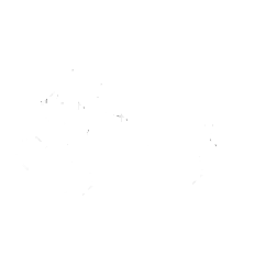 CC([SiH2]N1C(=O)[C@@H](NC(=O)OCc2cccc([N+](=O)[O-])c2)[C@H]1SC(c1ccccc1)(c1ccccc1)c1ccccc1)C(C)(C)C